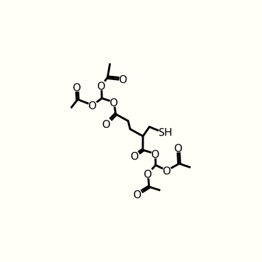 CC(=O)OC(OC(C)=O)OC(=O)CCC(CS)C(=O)OC(OC(C)=O)OC(C)=O